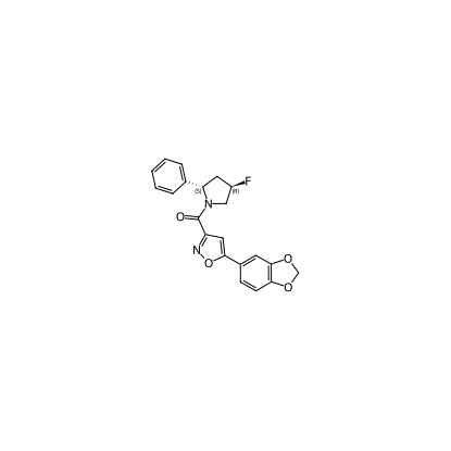 O=C(c1cc(-c2ccc3c(c2)OCO3)on1)N1C[C@H](F)C[C@H]1c1ccccc1